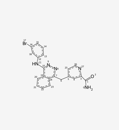 NC(=O)c1cc(Cc2nnc(Nc3cccc(Br)c3)c3ccccc23)ccn1